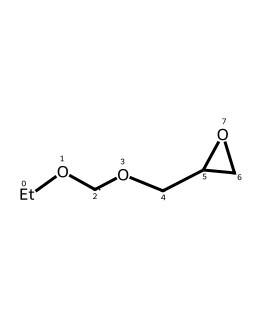 CCO[CH]OCC1CO1